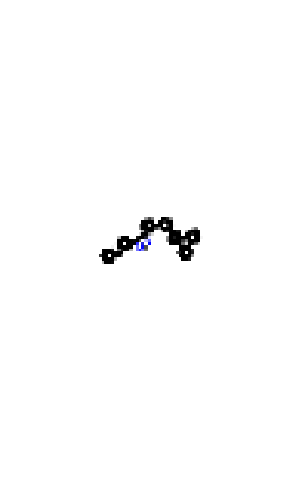 C1=CC(c2ccc3c4ccccc4c4ccccc4c3c2)=CC(c2cccc(-c3cc(-c4cccc(Cc5ccccc5)c4)ncn3)c2)C1